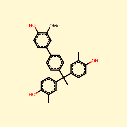 COc1cc(-c2ccc(C(C)(c3ccc(O)c(C)c3)c3ccc(O)c(C)c3)cc2)ccc1O